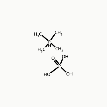 C[PH](C)(C)C.O=P(O)(O)O